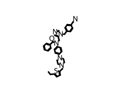 CCc1ccc(CN2CCN(c3ccc(N(Cc4cncn4Cc4ccc(C#N)cc4)C(=O)c4ccccc4)cc3)CC2)s1